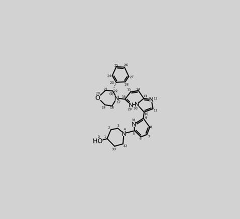 OC1CCN(c2cccc(-c3cnc4ccc(N5CCOC[C@@H]5c5ccccc5)nn34)n2)CC1